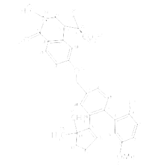 COc1ccc(F)c(-c2ccc(COc3ccc4c(c3)[C@@]3(C[C@H]3C(=O)O)CN(C)C4=O)cc2C2=CCCC2(C)C)c1